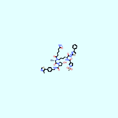 Cc1ncsc1-c1ccc(CNC(=O)[C@@H]2C[C@@H](O)CN2C(=O)[C@@H](N(CCCC[C@H](NC(=O)c2ccn(S(C)(=O)=O)c2)C(=O)Nc2nc(-c3ccccc3)cs2)C(=O)CCCCC(N)=O)C(C)(C)C)cc1